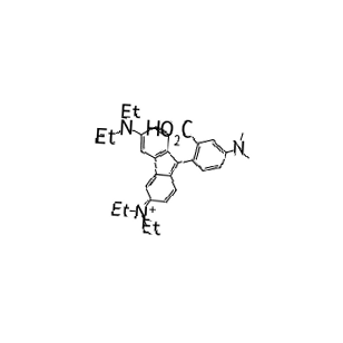 CCN(CC)c1ccc2c(c1)C1=CC(=[N+](CC)CC)C=CC1=C2c1ccc(N(C)C)cc1C(=O)O